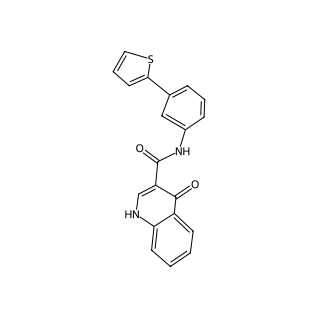 O=C(Nc1cccc(-c2cccs2)c1)c1c[nH]c2ccccc2c1=O